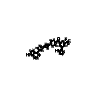 O=C(c1cc(C2=NCCN2)cc(C(F)(F)F)n1)N1CCN(C2CC(n3cc(-c4ncnc5[nH]ccc45)cn3)C2)CC1